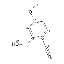 COc1ccc(C#N)c(CO)c1